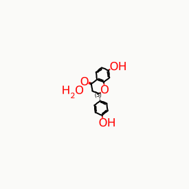 O.O=C1C[C@@H](c2ccc(O)cc2)Oc2cc(O)ccc21